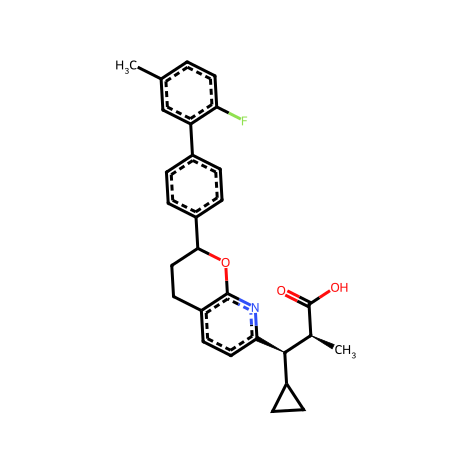 Cc1ccc(F)c(-c2ccc(C3CCc4ccc([C@H](C5CC5)[C@H](C)C(=O)O)nc4O3)cc2)c1